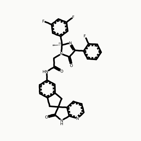 C[C@]1(c2cc(F)cc(F)c2)N=C(c2ccccc2F)C(=O)N1CC(=O)Nc1ccc2c(c1)CC1(C2)C(=O)Nc2ncccc21